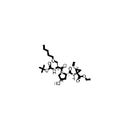 C=CCCCOC[C@H](NC(=O)OC(C)(C)C)C(=O)N1C[C@H](O)C[C@H]1C(=O)N[C@]1(C(=O)OCC)C[C@H]1C=C